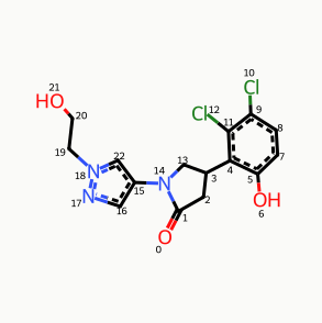 O=C1CC(c2c(O)ccc(Cl)c2Cl)CN1c1cnn(CCO)c1